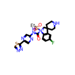 CCS(=O)(=O)[N+]1(C(=O)Nc2cnc(-c3nncs3)cn2)CC2(CCNCC2)c2cc(F)ccc21